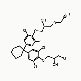 C#CCOC[C@H](O)COc1c(Cl)cc(C2(c3cc(Cl)c(OC[C@H](O)CCl)c(Cl)c3)CCCCC2)cc1Cl